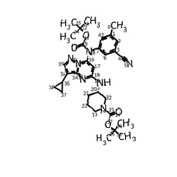 Cc1cc(C#N)cc(N(C(=O)OC(C)(C)C)c2cc(N[C@H]3CCCN(C(=O)OC(C)(C)C)C3)nc3c(C4CC4)cnn23)c1